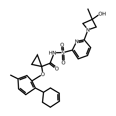 Cc1ccc(C2CC=CCC2)c(OC2(C(=O)NS(=O)(=O)c3cccc(N4CC(C)(O)C4)n3)CC2)c1